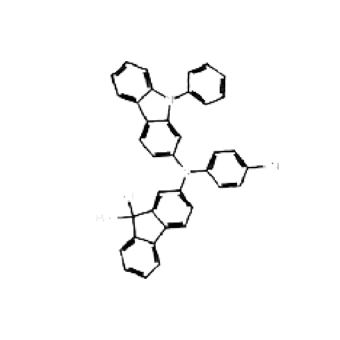 CC1(C)c2ccccc2-c2ccc(N(c3ccc(C#N)cc3)c3ccc4c5ccccc5n(-c5ccccc5)c4c3)cc21